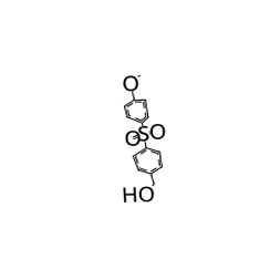 COc1ccc(S(=O)(=O)c2ccc(CO)cc2)cc1